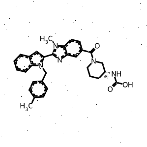 Cc1ccc(Cn2c(-c3nc4cc(C(=O)N5CCC[C@@H](NC(=O)O)C5)ccc4n3C)cc3ccccc32)cc1